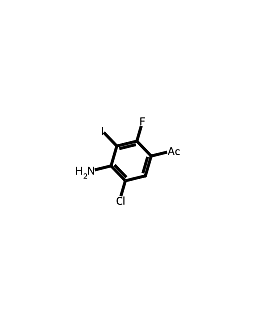 CC(=O)c1cc(Cl)c(N)c(I)c1F